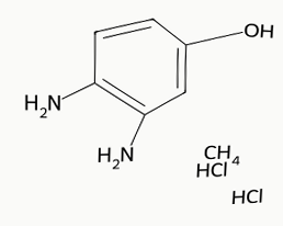 C.Cl.Cl.Nc1ccc(O)cc1N